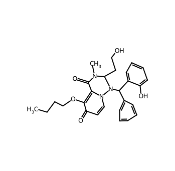 CCCCOc1c2n(ccc1=O)N(C(c1ccccc1)c1ccccc1O)C(CCO)N(C)C2=O